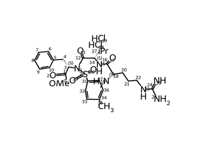 COC(=O)[C@H](Cc1ccccc1)N(C(=O)[C@@H](NC(=O)[C@@H](N)CCCNC(=N)N)C(C)C)S(=O)(=O)c1ccc(C)cc1.Cl.Cl